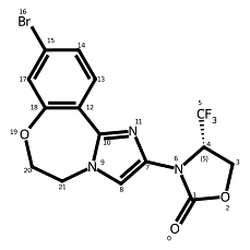 O=C1OC[C@@H](C(F)(F)F)N1c1cn2c(n1)-c1ccc(Br)cc1OCC2